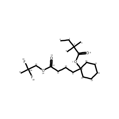 CCC(C)(C)C(=O)OC1(CCCC(=O)OCC(C)(F)F)CCCCC1